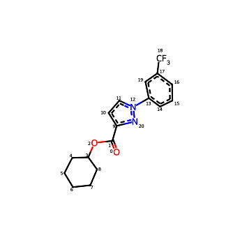 O=C(OC1CCCCC1)c1ccn(-c2cccc(C(F)(F)F)c2)n1